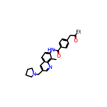 CCC(=O)Cc1ccc(C(=O)Nc2ccc3cc(CN4CCCC4)cnc3c2C)cc1